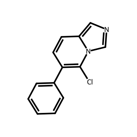 Clc1c(-c2ccccc2)ccc2cncn12